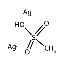 CS(=O)(=O)O.[Ag].[Ag]